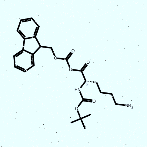 CC(C)(C)OC(=O)N[C@@H](CCCCN)C(=O)OC(=O)OCC1c2ccccc2-c2ccccc21